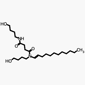 CCCCCCCCCCC=CN(CCCCO)C(=O)CCC(=O)NCCCCO